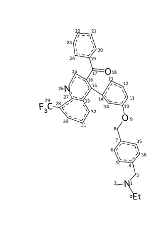 CCN(C)Cc1ccc(COc2cccc(-c3c(C(=O)c4ccccc4)cnc4c(C(F)(F)F)cccc34)c2)cc1